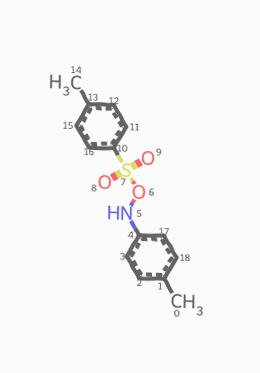 Cc1ccc(NOS(=O)(=O)c2ccc(C)cc2)cc1